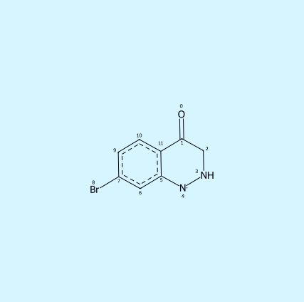 O=C1CN[N]c2cc(Br)ccc21